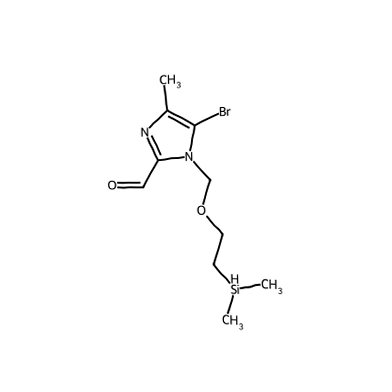 Cc1nc(C=O)n(COCC[SiH](C)C)c1Br